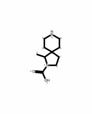 CC1N(C(=O)O)CCC12CCNCC2